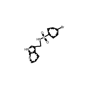 O=S(=O)(NCc1c[nH]c2ncccc12)c1ccc(Br)cc1